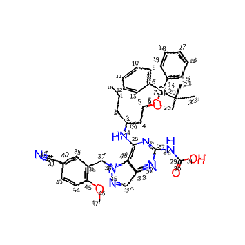 CCC[C@@H](CCO[Si](c1ccccc1)(c1ccccc1)C(C)(C)C)Nc1nc(NC(=O)O)nc2cnn(Cc3cc(C#N)ccc3OC)c12